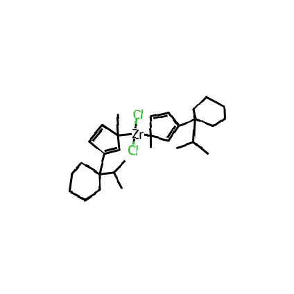 CC(C)C1(C2=C[C](C)([Zr]([Cl])([Cl])[C]3(C)C=CC(C4(C(C)C)CCCCC4)=C3)C=C2)CCCCC1